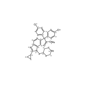 COC(=O)C(c1ccc(Cl)cc1)(c1ccc(Cl)cc1)c1ccc2nc(C3CC3)n(CC3CCNCC3)c2c1